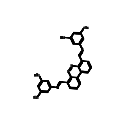 CCCCc1cc(/N=C/c2cccc3c2nnc2c(/C=N/c4cc(CCCC)cc(C(C)(C)C)c4)cccc23)cc(C(C)(C)C)c1